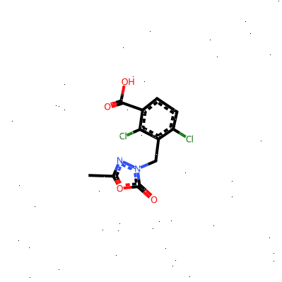 Cc1nn(Cc2c(Cl)ccc(C(=O)O)c2Cl)c(=O)o1